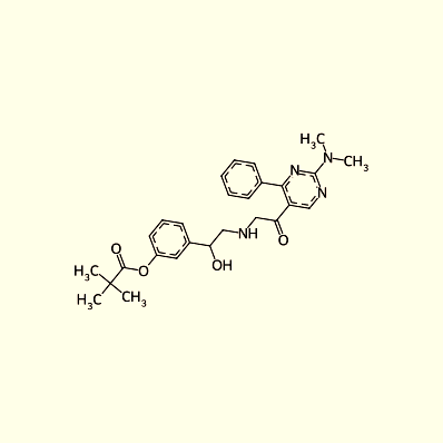 CN(C)c1ncc(C(=O)CNCC(O)c2cccc(OC(=O)C(C)(C)C)c2)c(-c2ccccc2)n1